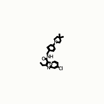 CCc1nc2cc(Cl)ccn2c1C(=O)NCc1ccc(N2CCC(C)(C)CC2)cc1